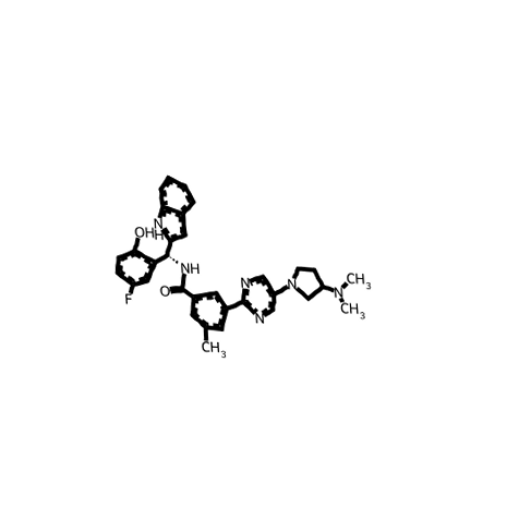 Cc1cc(C(=O)N[C@@H](c2cc3ccccc3[nH]2)c2cc(F)ccc2O)cc(-c2ncc(N3CCC(N(C)C)C3)cn2)c1